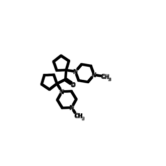 CN1CCN(C2(C(=O)C3(N4CCN(C)CC4)CCCC3)CCCC2)CC1